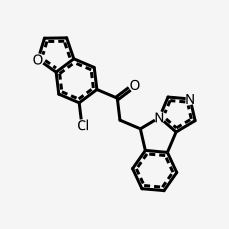 O=C(CC1c2ccccc2-c2cncn21)c1cc2ccoc2cc1Cl